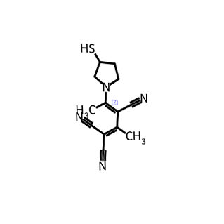 CC(=C(C#N)C#N)/C(C#N)=C(\C)N1CCC(S)C1